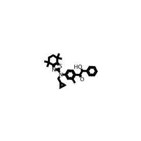 Cc1cc(N(CC2CC2)c2nc3c(s2)C(C)(C)CCC3(C)C)ccc1C(=O)C(O)c1ccccc1